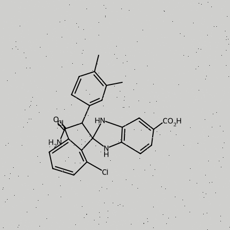 Cc1ccc(C(C(N)=O)C2(c3c(Cl)cccc3Cl)Nc3ccc(C(=O)O)cc3N2)cc1C